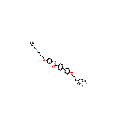 C=CCCCCCCCOc1ccc(OC(=O)c2ccc(-c3ccc(OCCCC(C)CC)cc3)cc2)cc1